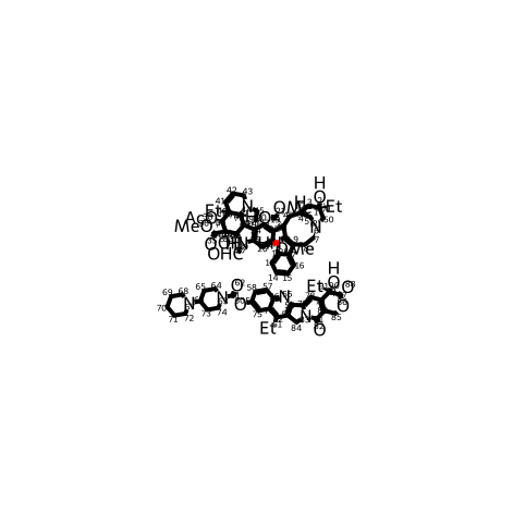 CC[C@]1(O)C[C@H]2C[N@](CCc3c([nH]c4ccccc34)[C@@](C(=O)OC)(c3cc4c(cc3OC)N(C=O)[C@H]3[C@@](O)(C(=O)OC)[C@H](OC(C)=O)[C@]5(CC)C=CCN6CC[C@]43[C@@H]65)C2)C1.CCc1c2c(nc3ccc(OC(=O)N4CCC(N5CCCCC5)CC4)cc13)-c1cc3c(c(=O)n1C2)COC(=O)[C@]3(O)CC